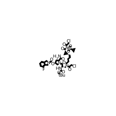 CC(C)(C)OC(=O)N[C@@H](CN(CCC/C=C\[C@@H]1C[C@@H]1C(=O)N(C(=O)CCl)S(=O)(=O)C1CC1)C(=O)CCl)C(=O)N1C[C@H](OC(=O)N2Cc3cccc(F)c3C2)CC1C(N)=O